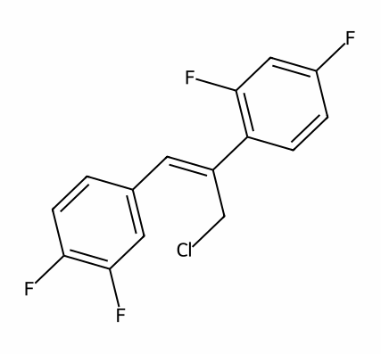 Fc1ccc(C(=Cc2ccc(F)c(F)c2)CCl)c(F)c1